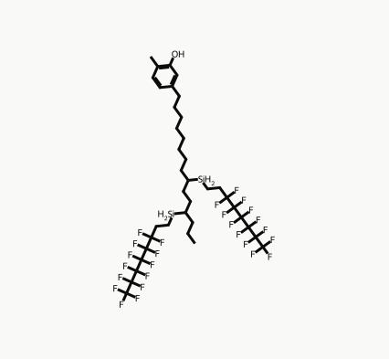 CCCC(CCC(CCCCCCCCc1ccc(C)c(O)c1)[SiH2]CCC(F)(F)C(F)(F)C(F)(F)C(F)(F)C(F)(F)C(F)(F)F)[SiH2]CCC(F)(F)C(F)(F)C(F)(F)C(F)(F)C(F)(F)C(F)(F)F